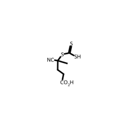 CC(C#N)(CCC(=O)O)SC(=S)S